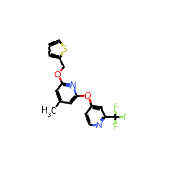 Cc1cc(OCc2cccs2)nc(Oc2ccnc(C(F)(F)F)c2)c1